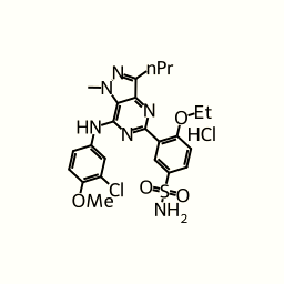 CCCc1nn(C)c2c(Nc3ccc(OC)c(Cl)c3)nc(-c3cc(S(N)(=O)=O)ccc3OCC)nc12.Cl